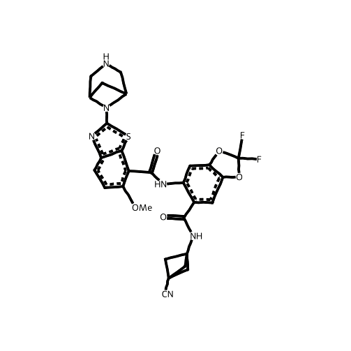 COc1ccc2nc(N3C4CNCC3C4)sc2c1C(=O)Nc1cc2c(cc1C(=O)NC13CC(C#N)(C1)C3)OC(F)(F)O2